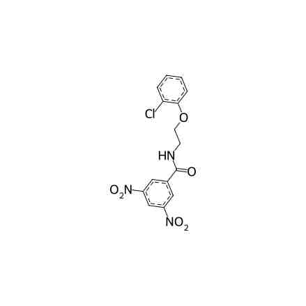 O=C(NCCOc1ccccc1Cl)c1cc([N+](=O)[O-])cc([N+](=O)[O-])c1